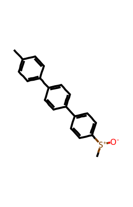 Cc1ccc(-c2ccc(-c3ccc([S+](C)[O-])cc3)cc2)cc1